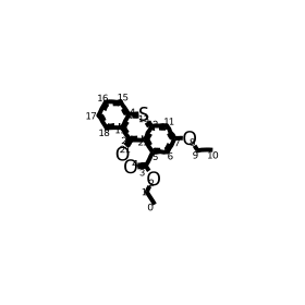 CCOC(=O)c1cc(OCC)cc2sc3ccccc3c(=O)c12